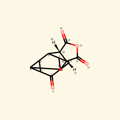 O=C1C2C3C2C2C4C1C4C3[C@H]1C(=O)OC(=O)[C@@H]21